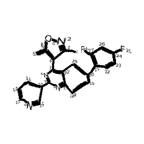 Cc1noc(C)c1-c1nc(-c2cccnc2)nc2ccc(-c3ccc(F)cc3F)cc12